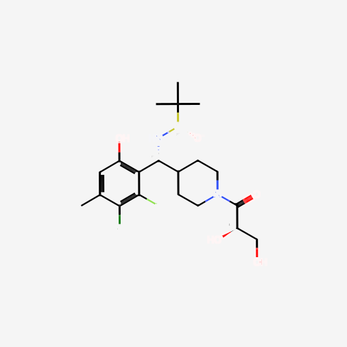 Cc1cc(O)c([C@H](N[S@@+]([O-])C(C)(C)C)C2CCN(C(=O)[C@H](O)CO)CC2)c(F)c1Cl